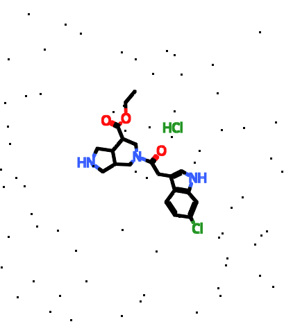 CCOC(=O)C1CN(C(=O)Cc2c[nH]c3cc(Cl)ccc23)CC2CNCC21.Cl